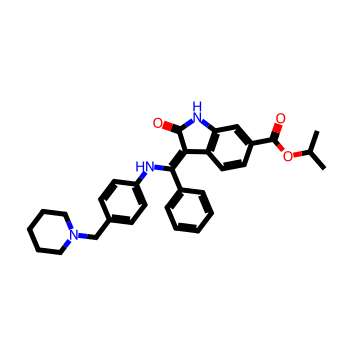 CC(C)OC(=O)c1ccc2c(c1)NC(=O)/C2=C(\Nc1ccc(CN2CCCCC2)cc1)c1ccccc1